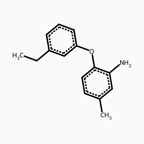 CCc1cccc(Oc2ccc(C)cc2N)c1